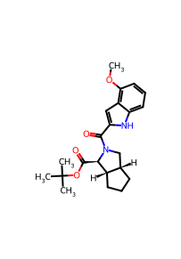 COc1cccc2[nH]c(C(=O)N3C[C@@H]4CCC[C@@H]4[C@H]3C(=O)OC(C)(C)C)cc12